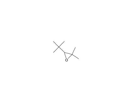 CC(C)(C)C1OC1(C)C